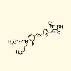 [C-]#[N+]/C(=C\c1ccc(/C=C/c2ccc(N(CCCC)CCCC)c(F)c2)s1)C(=O)O